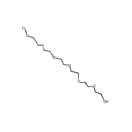 OCCOCCOCCOCCOCCOCCOCl